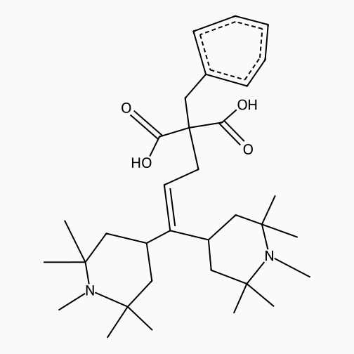 CN1C(C)(C)CC(C(=CCC(Cc2ccccc2)(C(=O)O)C(=O)O)C2CC(C)(C)N(C)C(C)(C)C2)CC1(C)C